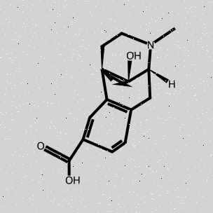 CN1CC[C@]23CCCC[C@@]2(O)[C@H]1Cc1ccc(C(=O)O)cc13